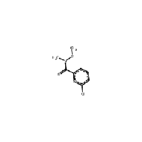 CON(C)C(=O)c1cccc(Cl)n1